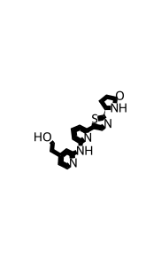 O=C1CC[C@@H](c2ncc(-c3cccc(Nc4cc(CCO)ccn4)n3)s2)N1